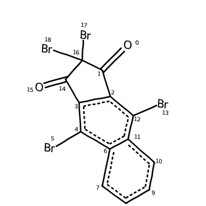 O=C1c2c(c(Br)c3ccccc3c2Br)C(=O)C1(Br)Br